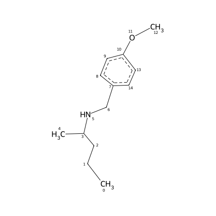 CCCC(C)NCc1ccc(OC)cc1